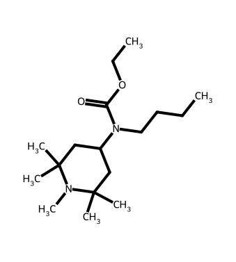 CCCCN(C(=O)OCC)C1CC(C)(C)N(C)C(C)(C)C1